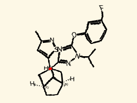 Cc1cc(N2C[C@H]3CC[C@@H](C2)C3Nc2nc(Oc3cccc(F)c3)n(C(C)C)n2)sn1